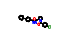 O=C(c1ccc(Cl)cc1)N1CCCC1c1nnc(-c2ccc(-c3ccccc3)cc2)o1